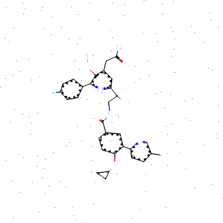 CCOc1c(CC(N)=O)cc([C@@](O)(CNC(=O)c2ccc(OC3CC3)c(-c3ccc(C)cn3)c2)C(F)(F)F)nc1-c1ccc(F)cc1